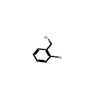 CCc1[c]cccc1CBr